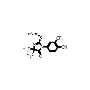 CCCCCCCCCSC1=NC(C)(C)C(=O)N1c1ccc(C#N)c(C(F)(F)F)c1